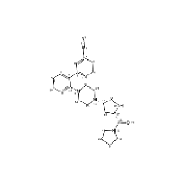 N#Cc1ccnc(-c2ccccc2N2CCN([C@@H]3CN[C@H](C(=O)N4CCSC4)C3)CC2)c1